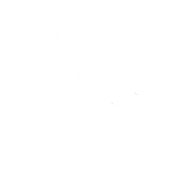 c1ccc(-c2cc(-c3cc4c5ccccc5c5ccccc5c4c4oc5ccccc5c34)nc(-c3ccccc3)n2)cc1